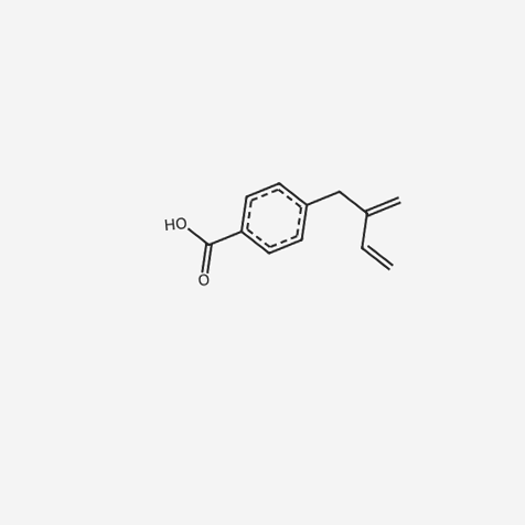 C=CC(=C)Cc1ccc(C(=O)O)cc1